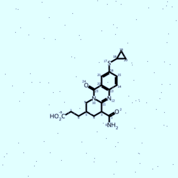 NC(=O)C1CC(CCC(=O)O)Cn2c1nc1ccc(SC3CC3)cc1c2=O